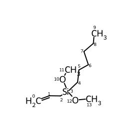 C=CC[Si](CCCCCC)(OC)OC